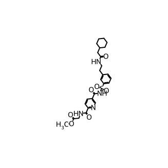 COC(=O)CNC(=O)c1ccc(C(=O)NS(=O)(=O)c2cccc(CCNC(=O)CC3CCCCC3)c2)cn1